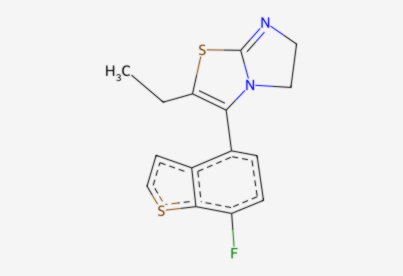 CCC1=C(c2ccc(F)c3sccc23)N2CCN=C2S1